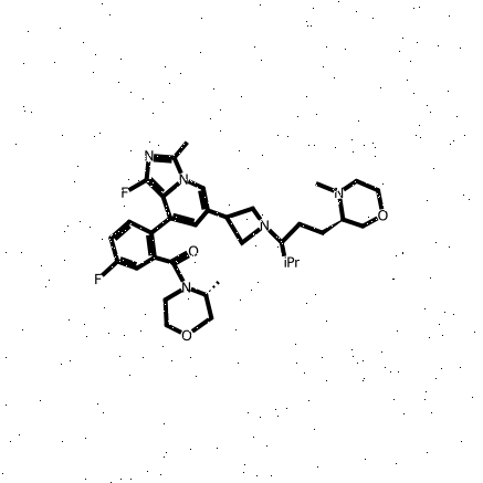 Cc1nc(F)c2c(-c3ccc(F)cc3C(=O)N3CCOC[C@H]3C)cc(C3CN(C(CC[C@@H]4COCCN4C)C(C)C)C3)cn12